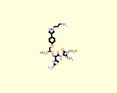 C[C@H]1[C@H](NC(=O)C(=NOC(COc2ccc(-c3cnn(CCCN)c3)cc2)C(=O)O)c2csc(N)n2)C(=O)N1S(=O)(=O)O